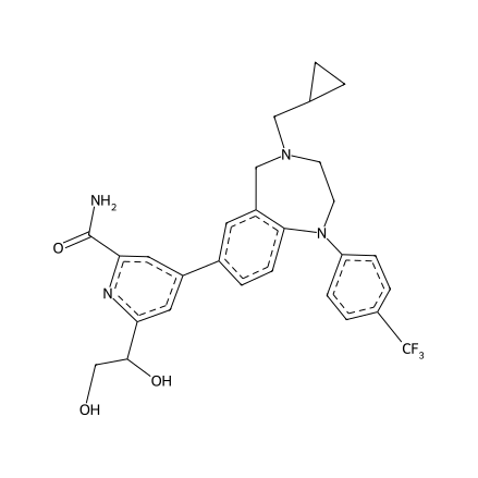 NC(=O)c1cc(-c2ccc3c(c2)CN(CC2CC2)CCN3c2ccc(C(F)(F)F)cc2)cc(C(O)CO)n1